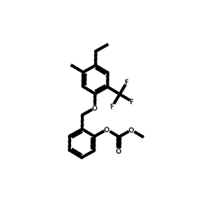 CCc1cc(C(F)(F)F)c(OCc2ccccc2OC(=O)OC)cc1C